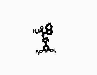 NC(=O)/C(=C/n1cnc(-c2cc(C(F)(F)F)nc(C(F)(F)F)c2)n1)c1cccc2cnccc12